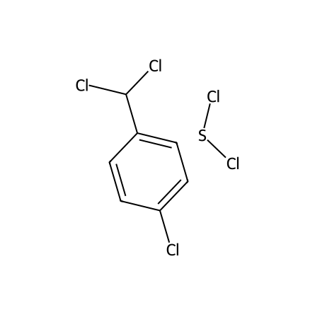 ClSCl.Clc1ccc(C(Cl)Cl)cc1